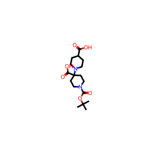 CC(C)(C)OC(=O)N1CCC(C(=O)O)(N2CCC(C(=O)O)CC2)CC1